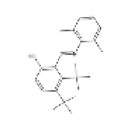 Cc1cccc(C)c1N=Cc1c(O)ccc(C(C)(C)C)c1C(C)(C)C